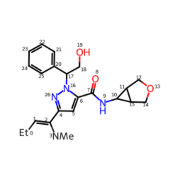 CC/C=C(\NC)c1cc(C(=O)NC2C3COCC32)n(C(CO)c2ccccc2)n1